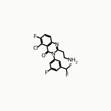 NCCc1nc2ccc(F)c(Cl)c2c(=O)n1-c1cc(F)cc(C(F)F)c1